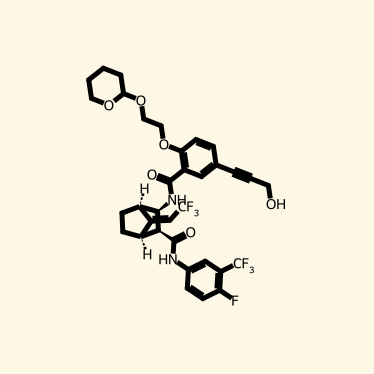 O=C(N[C@H]1[C@@H](C(=O)Nc2ccc(F)c(C(F)(F)F)c2)[C@H]2CC[C@@H]1/C2=C\C(F)(F)F)c1cc(C#CCO)ccc1OCCOC1CCCCO1